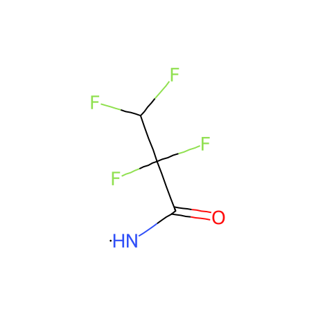 [NH]C(=O)C(F)(F)C(F)F